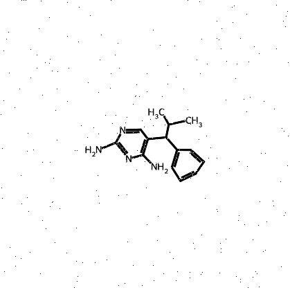 CC(C)C(c1ccccc1)c1cnc(N)nc1N